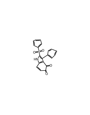 O=C1C=Cc2[nH]c(S(=O)(=O)c3ccccc3)c(-c3ccccc3)c2C1=O